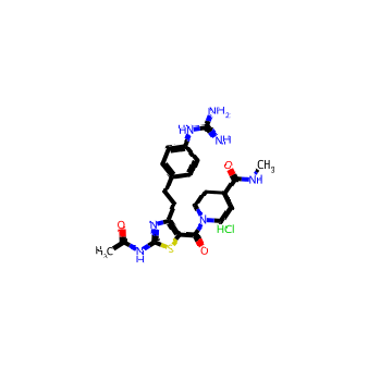 CNC(=O)C1CCN(C(=O)c2sc(NC(C)=O)nc2CCc2ccc(NC(=N)N)cc2)CC1.Cl